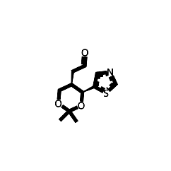 CC1(C)OC[C@@H](CC=O)[C@@H](c2cncs2)O1